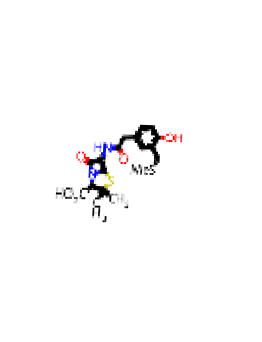 CSCc1cc(CC(=O)NC2C(=O)N3C2SC(C)(C)C3C(=O)O)ccc1O